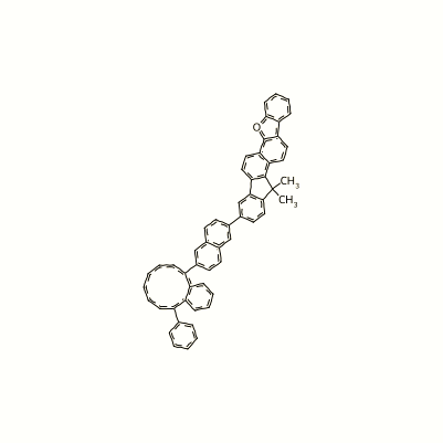 CC1(C)c2ccc(-c3ccc4cc(-c5ccccccc(-c6ccccc6)c6ccccc56)ccc4c3)cc2-c2ccc3c(ccc4c5ccccc5oc34)c21